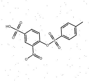 Cc1ccc(S(=O)(=O)Oc2ccc(S(=O)(=O)O)cc2[N+](=O)[O-])cc1